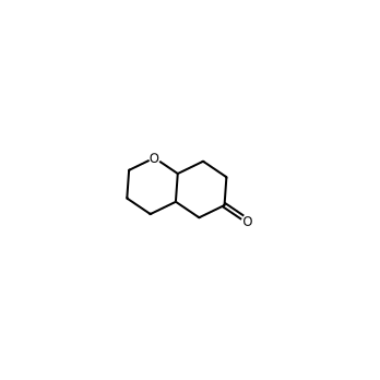 O=C1CCC2OCCCC2C1